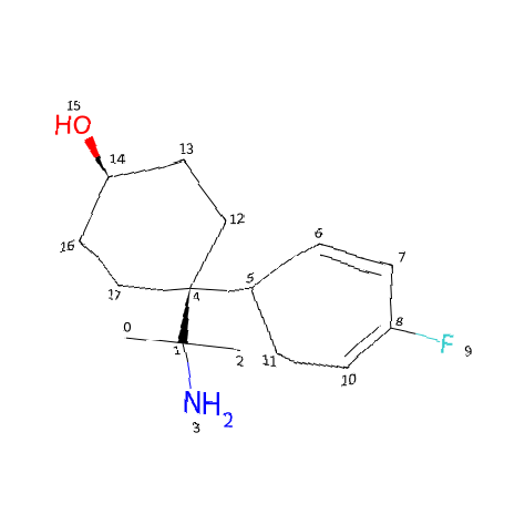 CC(C)(N)[C@]1(C2C=CC(F)=CC2)CC[C@H](O)CC1